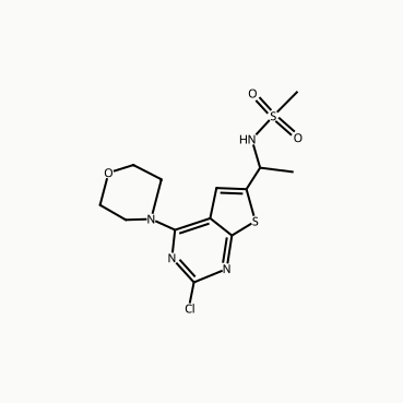 CC(NS(C)(=O)=O)c1cc2c(N3CCOCC3)nc(Cl)nc2s1